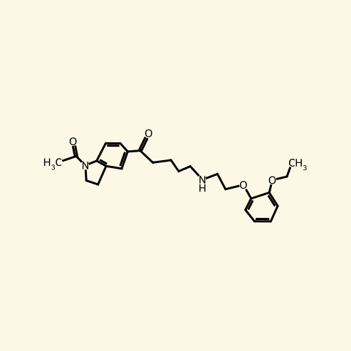 CCOc1ccccc1OCCNCCCCC(=O)c1ccc2c(c1)CCN2C(C)=O